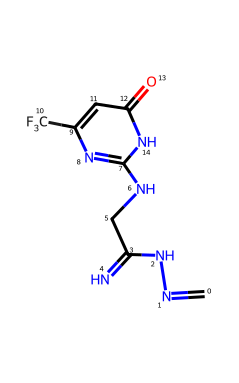 C=NNC(=N)CNc1nc(C(F)(F)F)cc(=O)[nH]1